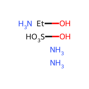 CCO.N.N.N.O=S(=O)(O)O